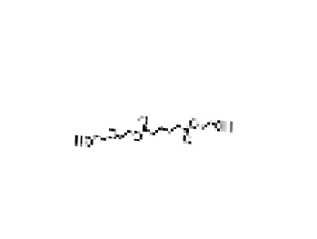 O=C(CCCCC(=O)OCCOCCO)OCCO